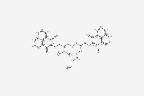 CC(C)N(CCCN(CCOCCO)CCN1C(=O)c2cccc3cccc(c23)C1=O)CCN1C(=O)c2cccc3cccc(c23)C1=O